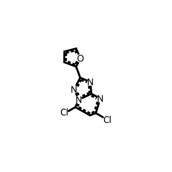 Clc1cc(Cl)n2nc(-c3ccco3)nc2n1